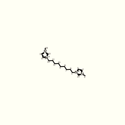 Cn1cc[n+](CCCCCCCCC[n+]2ccn(C)c2)c1